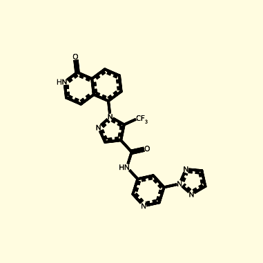 O=C(Nc1cncc(-n2nccn2)c1)c1cnn(-c2cccc3c(=O)[nH]ccc23)c1C(F)(F)F